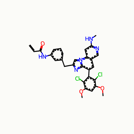 C=CC(=O)Nc1cccc(Cc2cn3c(n2)c(-c2c(Cl)c(OC)cc(OC)c2Cl)cc2cnc(NC)cc23)c1